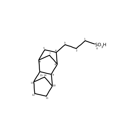 O=S(=O)(O)CCCC1CC2CC1C1C3CCC(C3)C21